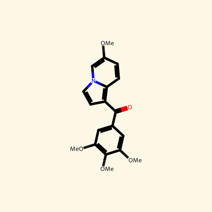 COc1ccc2c(C(=O)c3cc(OC)c(OC)c(OC)c3)ccn2c1